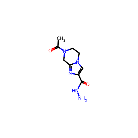 CC(=O)N1CCn2cc(C(=O)NN)nc2C1